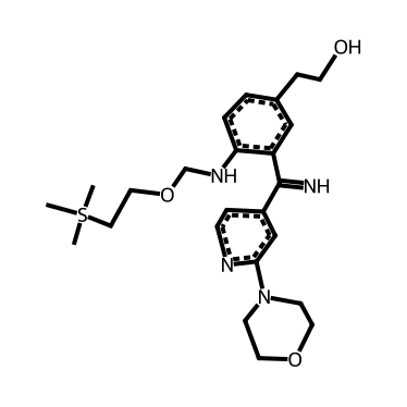 CS(C)(C)CCOCNc1ccc(CCO)cc1C(=N)c1ccnc(N2CCOCC2)c1